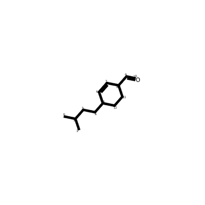 CC(C)CCC1C=CC(C=O)CC1